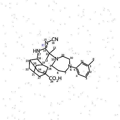 Cc1cccc(N2CCCN(C(C)(C)/C(=N\C#N)NC3C4CC5CC3CC(C(=O)O)(C5)C4)CC2)c1